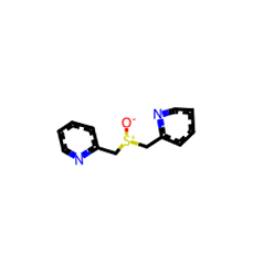 [O-][S+](Cc1ccccn1)Cc1ccccn1